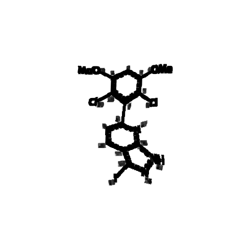 COc1cc(OC)c(Cl)c(-c2ccc3c(I)n[nH]c3n2)c1Cl